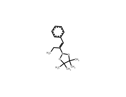 CCC(=Cc1ccccc1)B1OC(C)(C)C(C)(C)O1